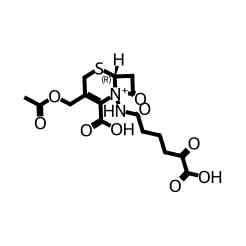 CC(=O)OCC1=C(C(=O)O)[N+]2(NC(=O)CCCC(=O)C(=O)O)C(=O)C[C@H]2SC1